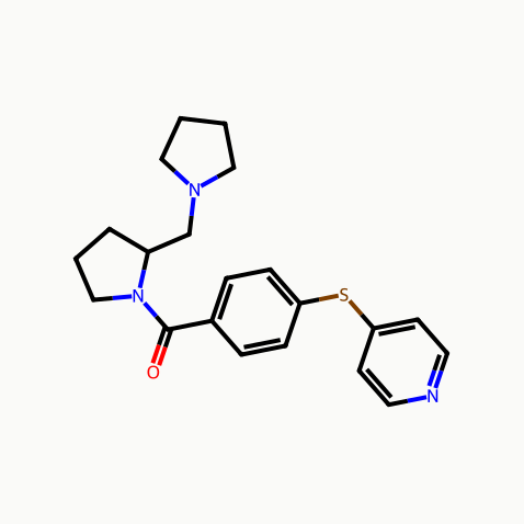 O=C(c1ccc(Sc2ccncc2)cc1)N1CCCC1CN1CCCC1